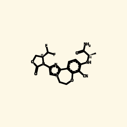 C[C@H](Nc1ccc2c(c1C#N)OCCn1cc(N3C(=O)OC[C@H]3C(F)F)nc1-2)C(N)=O